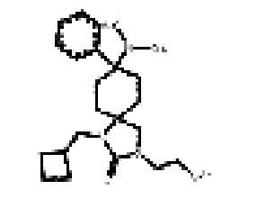 COCCN1CC2(CCC(c3ccccc3)(N(C)C)CC2)N(CC2CCC2)C1=O